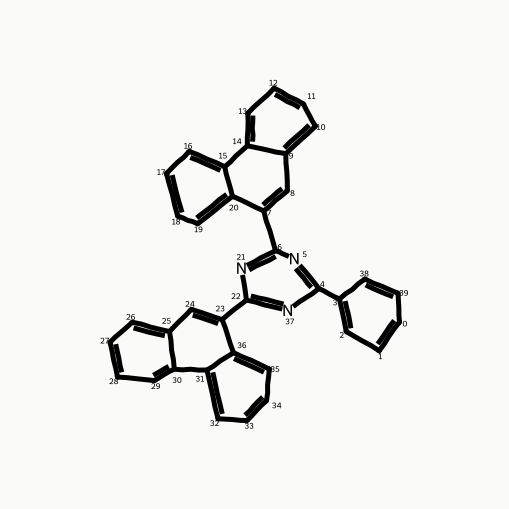 c1ccc(-c2nc(-c3cc4ccccc4c4ccccc34)nc(-c3cc4ccccc4c4ccccc34)n2)cc1